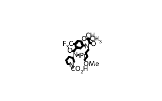 COCCCCN1C(=O)C(C)(C)Oc2cc(C(F)(F)F)c(C(=O)N(C(C)C)[C@H]3CCCN(C(=O)O)C3)cc21